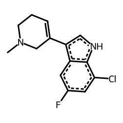 CN1CCC=C(c2c[nH]c3c(Cl)cc(F)cc23)C1